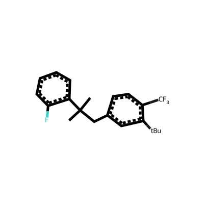 CC(C)(C)c1cc(CC(C)(C)c2ccccc2F)ccc1C(F)(F)F